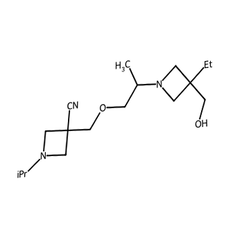 CCC1(CO)CN(C(C)COCC2(C#N)CN(C(C)C)C2)C1